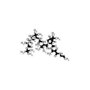 C=CCNC(=O)C(=O)C(C)NC(=O)[C@@H]1[C@@H]2[C@H](CN1C(=O)[C@@H](NC(=O)N[C@H](CN(C)S(=O)(=O)N(C)C(=O)OC(C)(C)C)C(C)(C)C)C(C)(C)C)C2(C)C